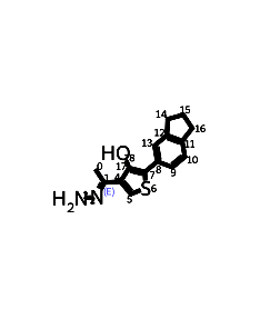 C/C(=N\N)c1csc(-c2ccc3c(c2)CCC3)c1O